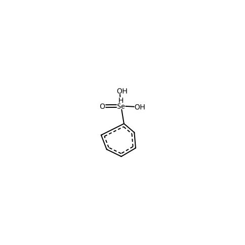 O=[SeH](O)(O)c1ccccc1